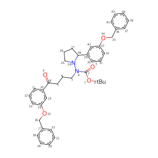 CC(C)(C)OC(=O)N(CCCC(=O)c1cccc(OCc2ccccc2)c1)N1CCCC1c1cccc(OCc2ccccc2)c1